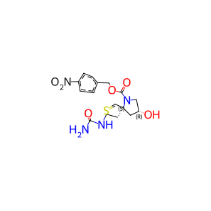 NC(=O)NCC[C@@]1(C=S)C[C@@H](O)CN1C(=O)OCc1ccc([N+](=O)[O-])cc1